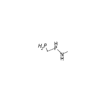 CNPCP